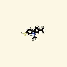 CSc1ccc2c3ccc(C(C)C)cc3n(C(C)C)c2c1